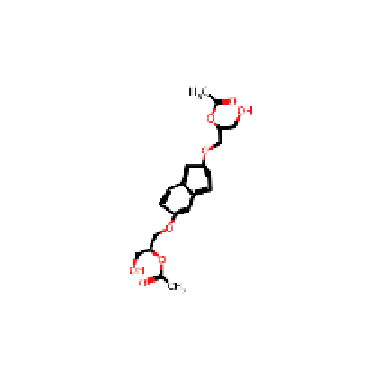 CC(=O)OC(CO)COc1ccc2cc(OCC(CO)OC(C)=O)ccc2c1